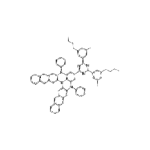 CCCCc1cc(I)cc(-c2nc(-c3cc(I)cc(CCCC)c3)nc(-c3cc4c5c(c3)N(c3ccccc3)c3cc6cc7ccccc7cc6cc3B5c3cc5cc6ccccc6cc5cc3N4c3ccccc3)n2)c1